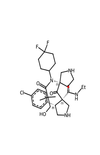 CCNC(=S)[C@]1(C(=O)[C@]2(N(C(=O)C(C)(C)CO)C3CCC(F)(F)CC3)CCNC2)CNC[C@@H]1c1ccc(Cl)cc1